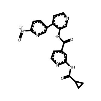 O=C(Nc1cnccc1-c1ccc([N+](=O)[O-])nc1)c1ccnc(NC(=O)C2CC2)c1